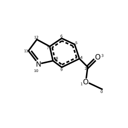 COC(=O)c1ccc2c(c1)N=CC2